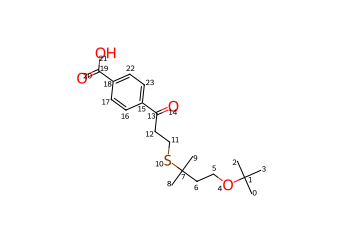 CC(C)(C)OCCC(C)(C)SCCC(=O)c1ccc(C(=O)O)cc1